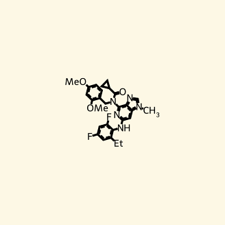 CCc1cc(F)cc(F)c1Nc1cc2c(ncn2C)c(N(Cc2ccc(OC)cc2OC)C(=O)C2CC2)n1